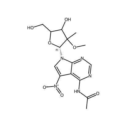 COC1(C)C(O)C(CO)O[C@H]1n1cc([N+](=O)[O-])c2c(NC(C)=O)ncnc21